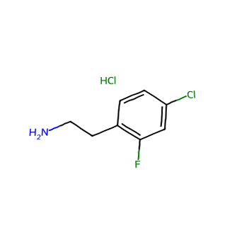 Cl.NCCc1ccc(Cl)cc1F